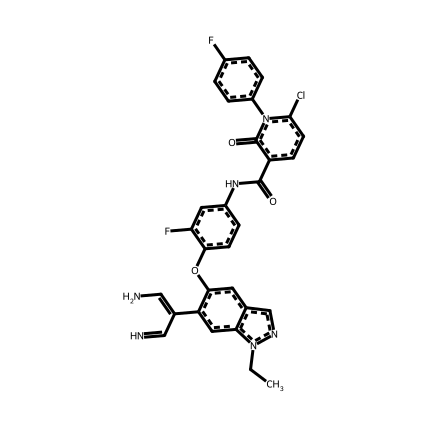 CCn1ncc2cc(Oc3ccc(NC(=O)c4ccc(Cl)n(-c5ccc(F)cc5)c4=O)cc3F)c(/C(C=N)=C/N)cc21